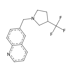 FC(F)(F)C1CCN(Cc2ccc3ncccc3c2)C1